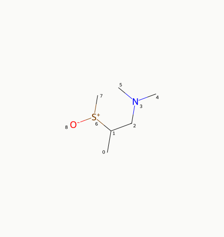 CC(CN(C)C)[S+](C)[O-]